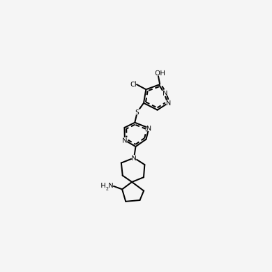 NC1CCCC12CCN(c1cnc(Sc3cnnc(O)c3Cl)cn1)CC2